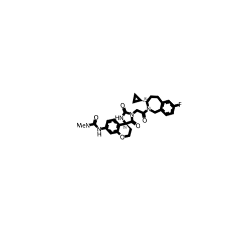 CNC(=O)Nc1ccc2c(c1)OCC[C@]21NC(=O)N(CC(=O)N2Cc3ccc(F)cc3CC[C@H]2C2CC2)C1=O